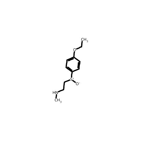 CCOc1ccc([S+]([O-])CCNC)cc1